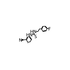 N#CC1=CC(NC(=S)NCCc2ccc(F)cc2)=CC[CH]1